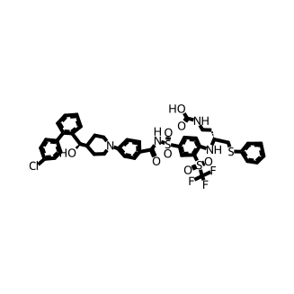 O=C(O)NCC[C@H](CSc1ccccc1)Nc1ccc(S(=O)(=O)NC(=O)c2ccc(N3CCC([C@@H](O)c4ccccc4-c4ccc(Cl)cc4)CC3)cc2)cc1S(=O)(=O)C(F)(F)F